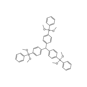 CO[Si](OC)(c1ccccc1)c1ccc(C(c2ccc([Si](OC)(OC)c3ccccc3)cc2)c2ccc([Si](OC)(OC)c3ccccc3)cc2)cc1